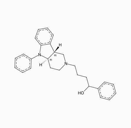 OC(CCCN1CC[C@@H]2[C@@H](C1)c1ccccc1N2c1ccccc1)c1ccccc1